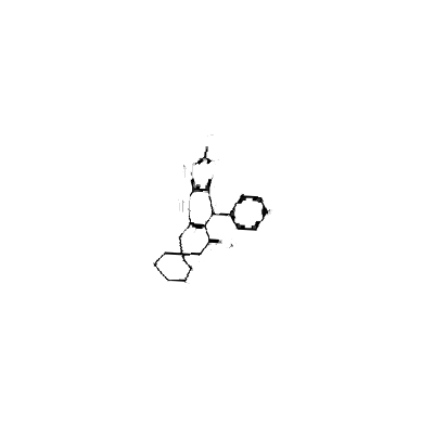 CCc1nc2c(s1)C(c1ccccc1)C1=C(CC3(CCCCC3)CC1=O)N2